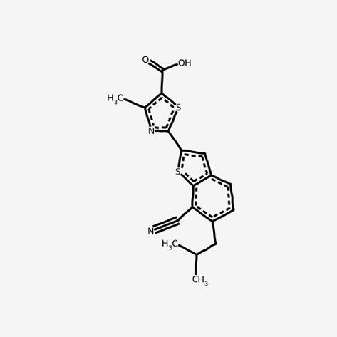 Cc1nc(-c2cc3ccc(CC(C)C)c(C#N)c3s2)sc1C(=O)O